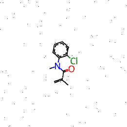 C=C(C)C(=O)N(C)c1ccccc1Cl